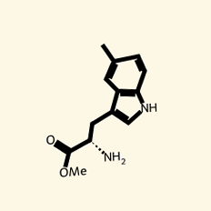 COC(=O)[C@@H](N)Cc1c[nH]c2ccc(C)cc12